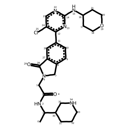 CC(NC(=O)CN1Cc2ccc(-c3nc(NC4CCOCC4)ncc3Cl)cc2C1=O)C1CCCNC1